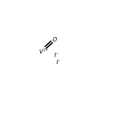 [I-].[I-].[O]=[V+2]